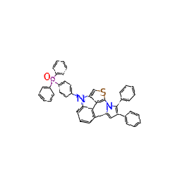 O=P(c1ccccc1)(c1ccccc1)c1ccc(-n2c3cccc4c3c3c2csc3n2c(-c3ccccc3)c(-c3ccccc3)cc42)cc1